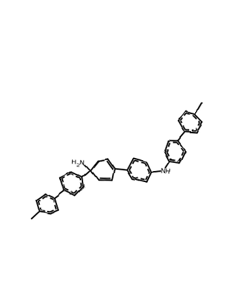 Cc1ccc(-c2ccc(Nc3ccc(C4=CCC(N)(c5ccc(-c6ccc(C)cc6)cc5)C=C4)cc3)cc2)cc1